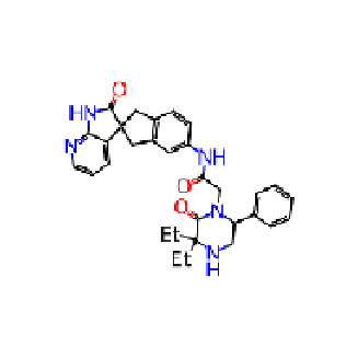 CCC1(CC)NCC(c2ccccc2)N(CC(=O)Nc2ccc3c(c2)CC2(C3)C(=O)Nc3ncccc32)C1=O